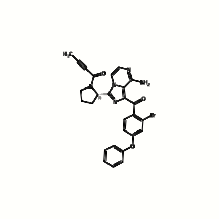 CC#CC(=O)N1CCC[C@H]1c1nc(C(=O)c2ccc(Oc3ccccc3)cc2Br)c2c(N)nccn12